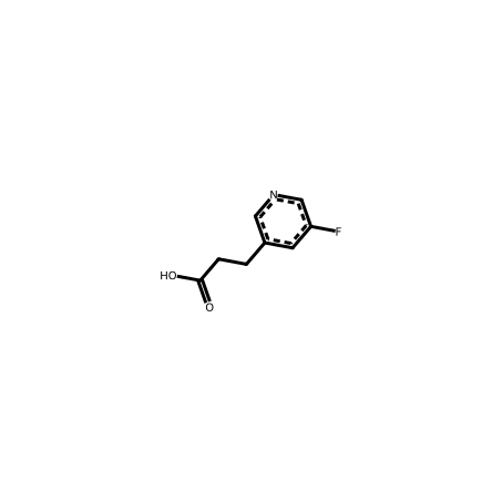 O=C(O)CCc1cncc(F)c1